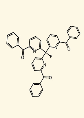 O=C(c1ccccc1)c1cccc(C(F)(c2cccc(C(=O)c3ccccc3)n2)c2cccc(C(=O)c3ccccc3)n2)n1